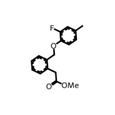 COC(=O)Cc1ccccc1COc1ccc(C)cc1F